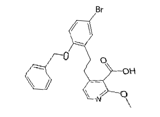 COc1nccc(CCc2cc(Br)ccc2OCc2ccccc2)c1C(=O)O